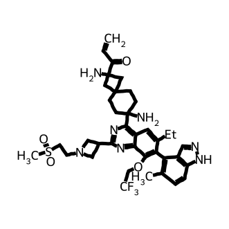 C=CC(=O)C1(N)CC2(CCC(N)(c3nc(C4CN(CCS(C)(=O)=O)C4)nc4c(OCC(F)(F)F)c(-c5c(C)ccc6[nH]ncc56)c(CC)cc34)CC2)C1